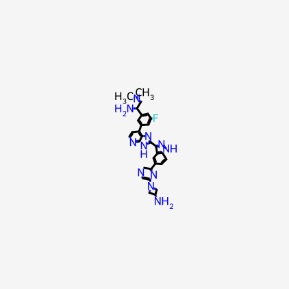 CN(C)CC(N)c1cc(F)cc(-c2ccnc3[nH]c(-c4n[nH]c5ccc(-c6cncc(N7CC(N)C7)n6)cc45)nc23)c1